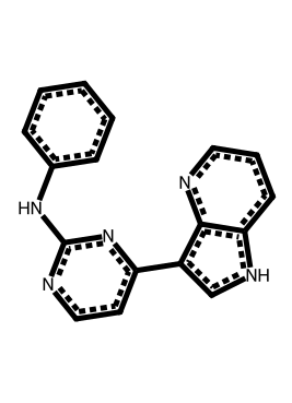 c1ccc(Nc2nccc(-c3c[nH]c4cccnc34)n2)cc1